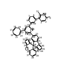 Cc1ccc(-c2cccc(-c3cc(C4=CC=CC=CC4)nc(-c4ccc5c(c4)C4(c6ccccc6Oc6ccccc64)c4ccccc4-5)n3)c2)c(C)n1